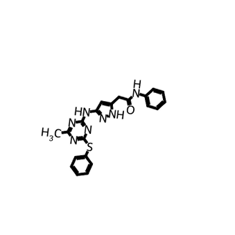 Cc1nc(Nc2cc(CC(=O)Nc3ccccc3)[nH]n2)nc(Sc2ccccc2)n1